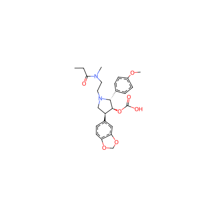 CCC(=O)N(C)CCN1C[C@H](c2ccc3c(c2)OCO3)[C@H](OC(=O)O)[C@H]1c1ccc(OC)cc1